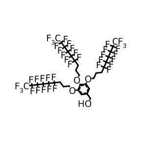 OCc1cc(OCCCC(F)(F)C(F)(F)C(F)(F)C(F)(F)C(F)(F)C(F)(F)F)c(OCCCC(F)(F)C(F)(F)C(F)(F)C(F)(F)C(F)(F)C(F)(F)F)c(OCCCC(F)(F)C(F)(F)C(F)(F)C(F)(F)C(F)(F)C(F)(F)F)c1